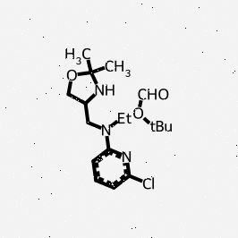 CC(C)(C)OC=O.CCN(CC1COC(C)(C)N1)c1cccc(Cl)n1